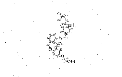 CC(C)(O)COc1ccc2c(c1)/C(=C/CCN1CCC(N)(c3ccc(Cl)cc3)CC1)c1cccnc1CO2